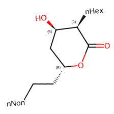 CCCCCCCCCCC[C@@H]1C[C@@H](O)[C@@H](CCCCCC)C(=O)O1